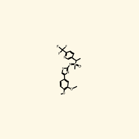 COc1ccc(-c2csc(N=S(C)(=O)C(C)c3ccc(C(F)(F)F)nc3)n2)cc1OC